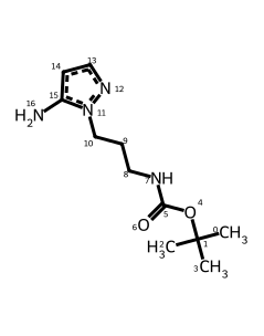 CC(C)(C)OC(=O)NCCCn1nccc1N